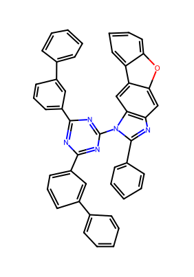 c1ccc(-c2cccc(-c3nc(-c4cccc(-c5ccccc5)c4)nc(-n4c(-c5ccccc5)nc5cc6oc7ccccc7c6cc54)n3)c2)cc1